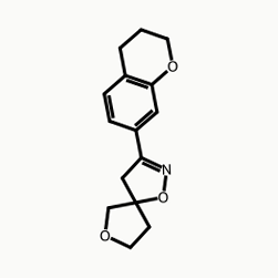 c1cc2c(cc1C1=NOC3(CCOC3)C1)OCCC2